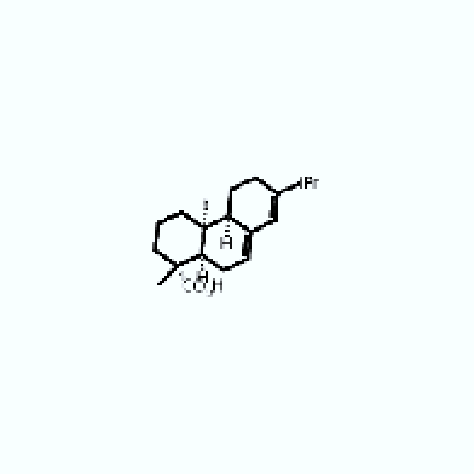 CC(C)C1=CC2=CC[C@@H]3[C@@](C)(CCC[C@@]3(C)C(=O)O)[C@H]2CC1